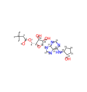 CC(C)(C)CC(=O)OC[C@H]1O[C@@H](n2cnc3c(N[C@H]4CCC[C@@H]4O)ncnc32)[C@H](O)[C@@H]1O